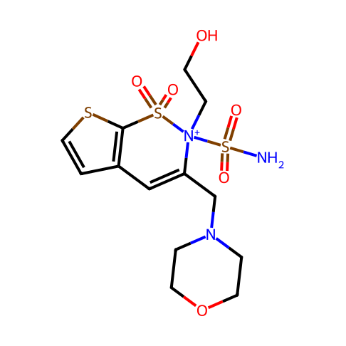 NS(=O)(=O)[N+]1(CCO)C(CN2CCOCC2)=Cc2ccsc2S1(=O)=O